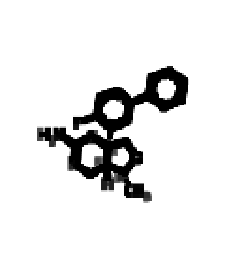 C[C@H]1OC[C@]2(c3cc(-c4ccccc4)ccc3F)SC(N)=NC[C@@H]12